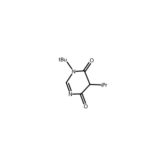 CC(C)C1C(=O)N=CN(C(C)(C)C)C1=O